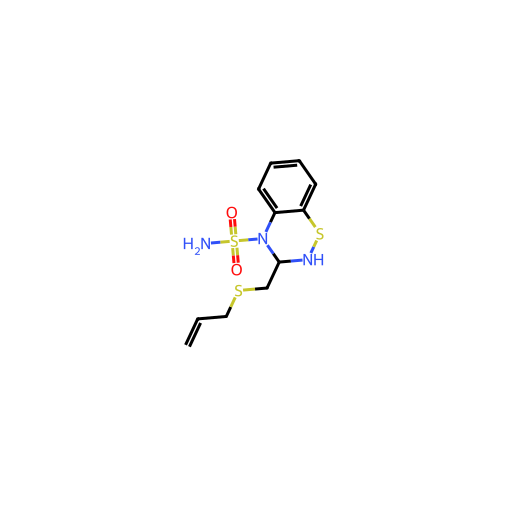 C=CCSCC1NSc2ccccc2N1S(N)(=O)=O